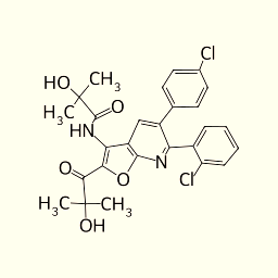 CC(C)(O)C(=O)Nc1c(C(=O)C(C)(C)O)oc2nc(-c3ccccc3Cl)c(-c3ccc(Cl)cc3)cc12